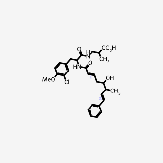 COc1ccc(CC(NC(=O)/C=C/CC(O)C(C)/C=C/c2ccccc2)C(=O)NCC(C)C(=O)O)cc1Cl